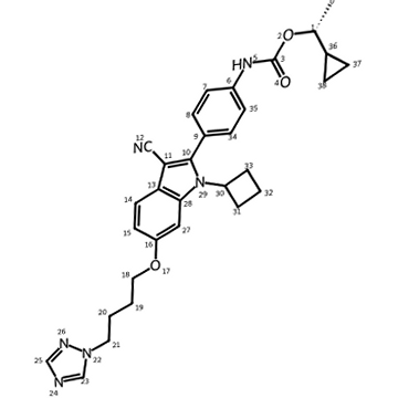 C[C@@H](OC(=O)Nc1ccc(-c2c(C#N)c3ccc(OCCCCn4cncn4)cc3n2C2CCC2)cc1)C1CC1